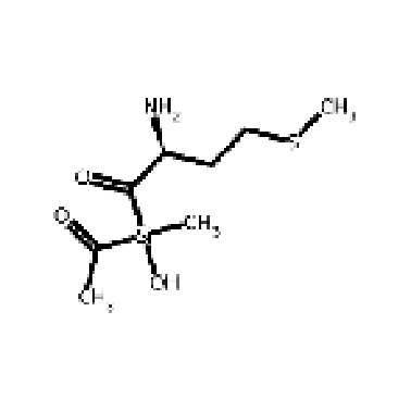 CSCC[C@H](N)C(=O)[Si](C)(O)C(C)=O